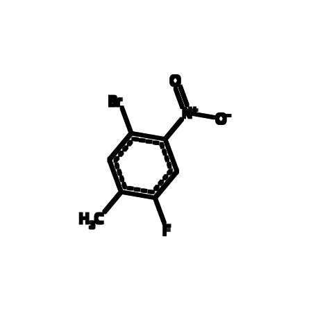 Cc1cc(Br)c([N+](=O)[O-])cc1F